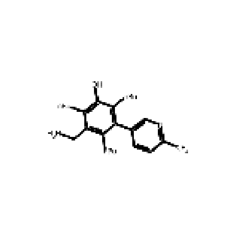 CCCCc1c(O)c(CCCC)c(-c2ccc(C(F)(F)F)nc2)c(CCCC)c1CN